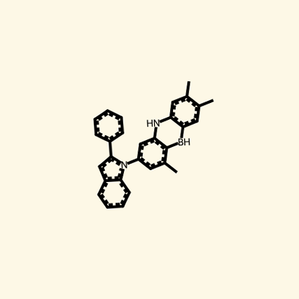 Cc1cc2c(cc1C)Nc1cc(-n3c(-c4ccccc4)cc4ccccc43)cc(C)c1B2